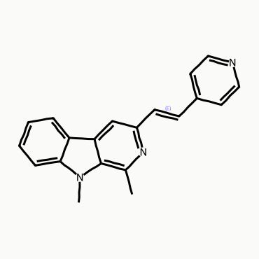 Cc1nc(/C=C/c2ccncc2)cc2c3ccccc3n(C)c12